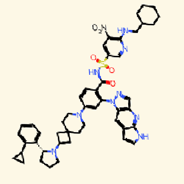 O=C(NS(=O)(=O)c1cnc(NCC2CCCCC2)c([N+](=O)[O-])c1)c1ccc(N2CCC3(CC2)CC(N2CCC[C@@H]2c2ccccc2C2CC2)C3)cc1-n1ncc2nc3[nH]ccc3cc21